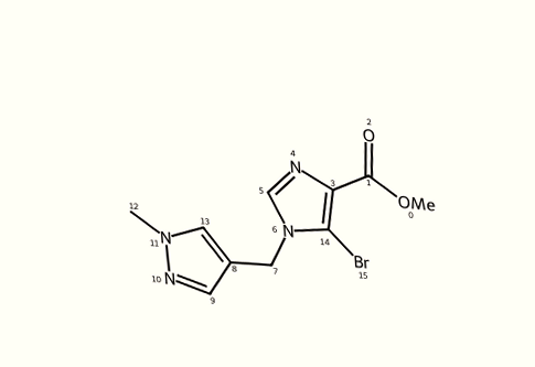 COC(=O)c1ncn(Cc2cnn(C)c2)c1Br